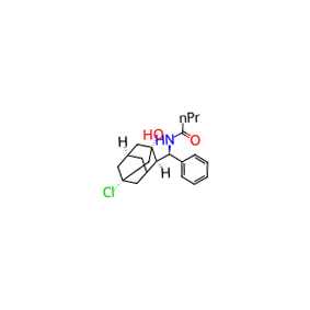 CCCC(=O)N[C@@H](c1ccccc1)[C@H]1C2C[C@H]3C[C@](Cl)(C2)C[C@@]1(O)C3